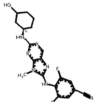 Cn1c(Nc2c(F)cc(C#N)cc2F)nc2cnc(N[C@@H]3CCCC(O)C3)nc21